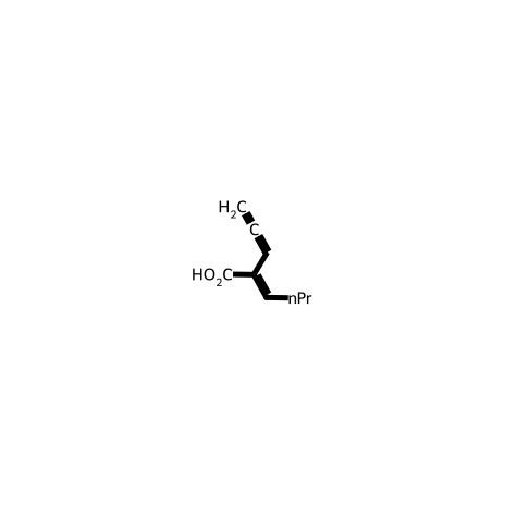 C=C=CC(=CCCC)C(=O)O